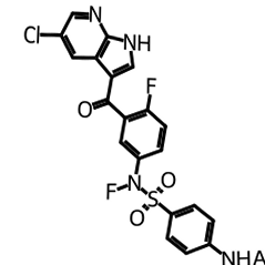 CC(=O)Nc1ccc(S(=O)(=O)N(F)c2ccc(F)c(C(=O)c3c[nH]c4ncc(Cl)cc34)c2)cc1